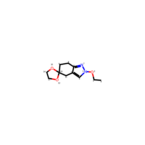 CCOn1cc2c(n1)CCC1(C2)OCCO1